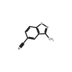 Cc1nsc2ccc(C#N)cc12